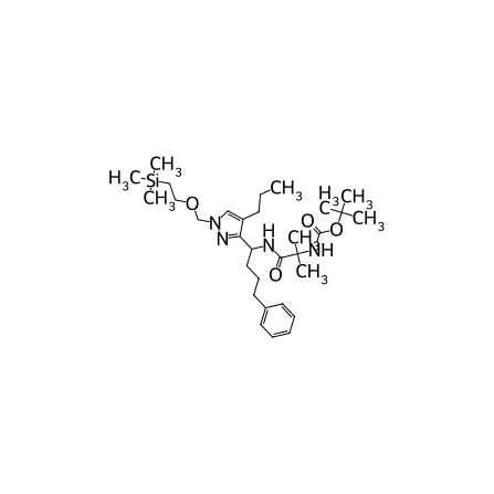 CCCc1cn(COCC[Si](C)(C)C)nc1C(CCCc1ccccc1)NC(=O)C(C)(C)NC(=O)OC(C)(C)C